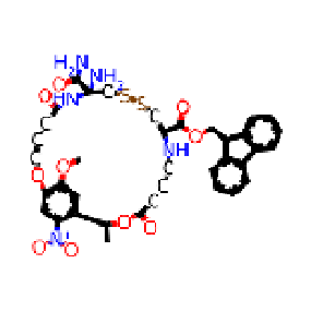 COc1cc2c([N+](=O)[O-])cc1OCCCC(=O)NC(N)(C(N)=O)CSSCC(C(=O)OCC1c3ccccc3-c3ccccc31)NCCCC(=O)OC2C